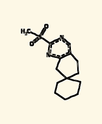 CS(=O)(=O)c1ncc2c(n1)CC1(CCCCC1)CC2